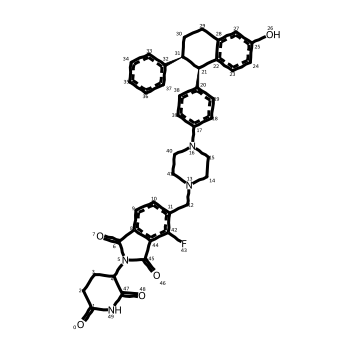 O=C1CCC(N2C(=O)c3ccc(CN4CCN(c5ccc([C@@H]6c7ccc(O)cc7CC[C@@H]6c6ccccc6)cc5)CC4)c(F)c3C2=O)C(=O)N1